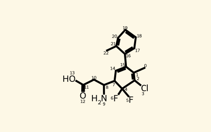 CC1=C(Cl)C(F)(F)C(C(N)CC(=O)O)C=C1c1ccccc1C